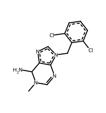 CN1C=Nc2c(ncn2Cc2c(Cl)cccc2Cl)C1N